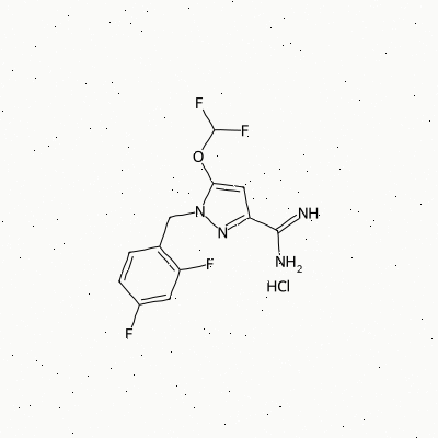 Cl.N=C(N)c1cc(OC(F)F)n(Cc2ccc(F)cc2F)n1